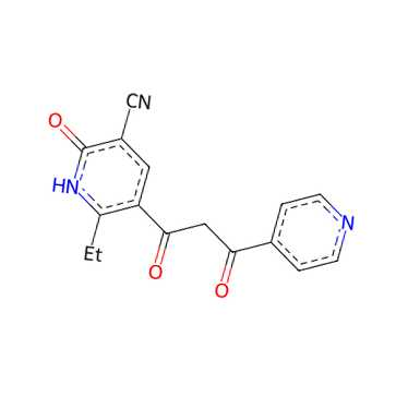 CCc1[nH]c(=O)c(C#N)cc1C(=O)CC(=O)c1ccncc1